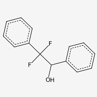 OC(c1ccccc1)C(F)(F)c1ccccc1